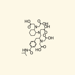 CC(C)NC(=O)c1ccc(CC(CN(CC(=O)O)C2CCCCC2N(CC(=O)O)CC(=O)O)N(CC(=O)O)CC(=O)O)cc1